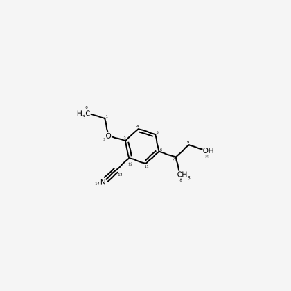 CCOc1ccc([C](C)CO)cc1C#N